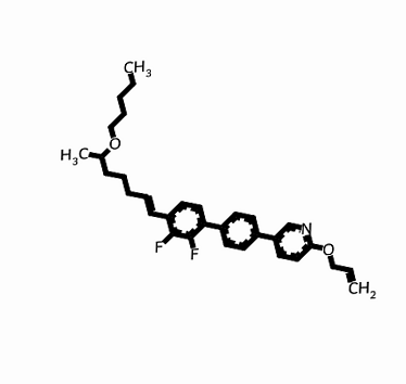 C=CCOc1ccc(-c2ccc(-c3ccc(C=CCCCC(C)OCCCCC)c(F)c3F)cc2)cn1